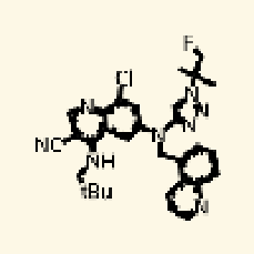 CC(C)(C)CNc1c(C#N)cnc2c(Cl)cc(N(Cc3cccc4ncccc34)c3cn(C(C)(C)CF)nn3)cc12